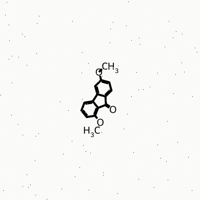 COc1ccc2c(c1)-c1cccc(OC)c1C2=O